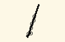 CCCCCCCCCCOCCOCCOCCOCCCC(=O)OCC(C)C